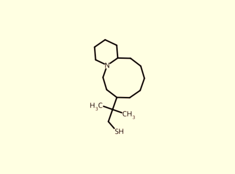 CC(C)(CS)C1CCCCCC2CCCCN2CC1